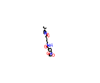 CCC(C)[C@@H]1CCN(C(=O)CCCCCNC(=O)C2CCC(CN3C(=O)C=CC3=O)CC2)C1